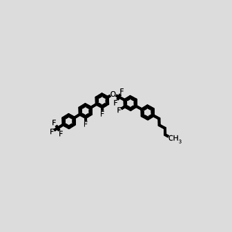 CCCCCc1ccc(-c2ccc(C(F)(F)Oc3ccc(-c4ccc(-c5ccc(C(F)(F)F)cc5)c(F)c4)c(F)c3)c(F)c2)cc1